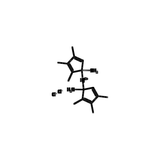 CC1=C[C]([SiH3])([Hf+2][C]2([SiH3])C=C(C)C(C)=C2C)C(C)=C1C.[Cl-].[Cl-]